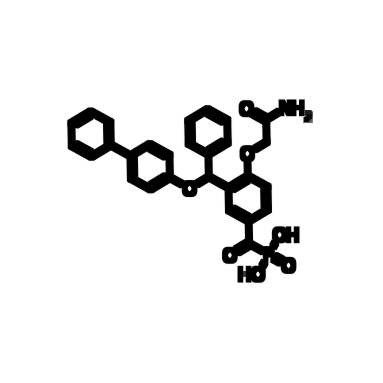 NC(=O)COc1ccc(C(=O)P(=O)(O)O)cc1C(Oc1ccc(-c2ccccc2)cc1)c1ccccc1